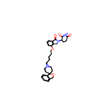 O=C1CCC(N2Cc3c(OCCCCCN4CCC5(CC4)OCc4ccccc45)cccc3C2=O)C(=O)N1